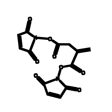 C=C(CC(=O)ON1C(=O)C=CC1=O)C(=O)ON1C(=O)C=CC1=O